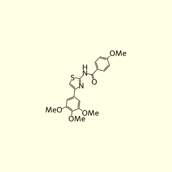 COc1ccc(C(=O)Nc2nc(-c3cc(OC)c(OC)c(OC)c3)cs2)cc1